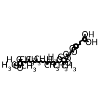 COC1CC(C)(C)C(/C=C/C(C)=C/C=C/C(C)=C/C=C/C=C(C)/C=C/C=C(C)/C=C/C2=C(C)C(=O)C(OC(=O)CCC(=O)Oc3ccc(/C=C/c4cc(O)cc(O)c4)cc3)CC2(C)C)=C(C)C1=O